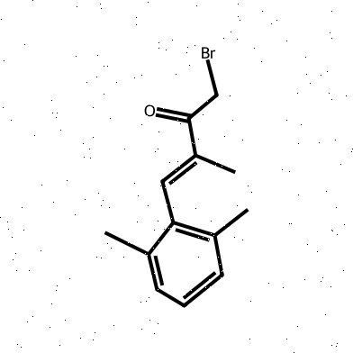 CC(=Cc1c(C)cccc1C)C(=O)CBr